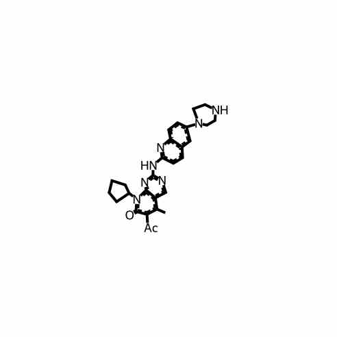 CC(=O)c1c(C)c2cnc(Nc3ccc4cc(N5CCNCC5)ccc4n3)nc2n(C2CCCC2)c1=O